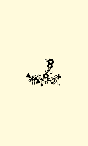 C=C[C@@H]1C[C@]1(NC(=O)[C@@H]1C[C@@H](OC(=O)N2Cc3cccc(F)c3C2)CN1C(=O)[C@H](CN)NC(=O)OC(C)(C)C)C(=O)NS(=O)(=O)C1CC1